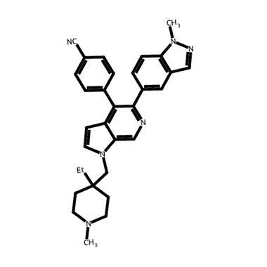 CCC1(Cn2ccc3c(-c4ccc(C#N)cc4)c(-c4ccc5c(cnn5C)c4)ncc32)CCN(C)CC1